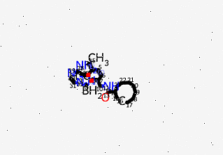 Bc1nc(C(/C=C\C(=C/C)CNC(=O)C2CCCCCCCCC2)=C/C)c2c(N)nccn12